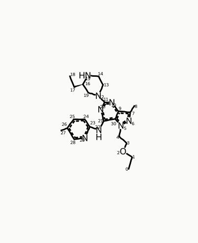 CCOCCn1nc(C)c2nc(N3CCN[C@H](CC)C3)nc(Nc3ccc(C)cn3)c21